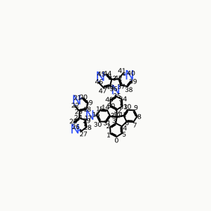 c1ccc2c(c1)-c1ccccc1C2(c1ccc(-n2c3ccncc3c3cnccc32)cc1)c1ccc(-n2c3ccncc3c3cnccc32)cc1